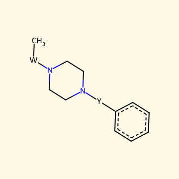 [CH3][W][N]1CC[N]([Y][c]2ccccc2)CC1